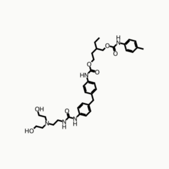 CCC(CCOC(=O)Nc1ccc(Cc2ccc(NC(=O)NCCN(CCO)CCO)cc2)cc1)COC(=O)Nc1ccc(C)cc1